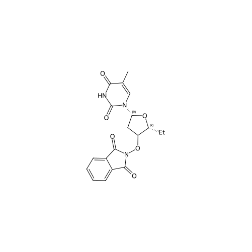 CC[C@H]1O[C@@H](n2cc(C)c(=O)[nH]c2=O)CC1ON1C(=O)c2ccccc2C1=O